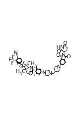 CC1(C)[C@H](NC(=O)c2ccc(N3CCN(CC4CCN(c5ccc6c(c5)C(=O)N(C5CCC(=O)NC5=O)C6=O)CC4)CC3)cc2)C(C)(C)[C@H]1Oc1ccc(C#N)c(C(F)(F)F)c1